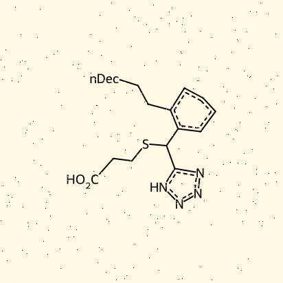 CCCCCCCCCCCCc1ccccc1C(SCCC(=O)O)c1nnn[nH]1